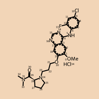 COc1cc2c(Nc3ccc(Cl)cc3F)ncnc2cc1OCCCN1CCC[C@H]1C(=O)N(C)C.Cl